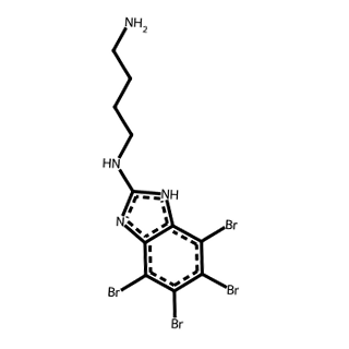 NCCCCNc1nc2c(Br)c(Br)c(Br)c(Br)c2[nH]1